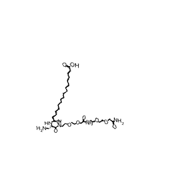 NC[C@H](NC(=O)CCCCCCCCCCCCCCCCC(=O)O)C(=O)NCCOCCOCC(=O)NCCOCCOCC(N)=O